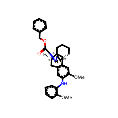 COc1ccccc1Nc1cc2c(cc1OC)[C@]13CCCC[C@@H]1[C@H](C2)N(C(=O)OCc1ccccc1)CC3